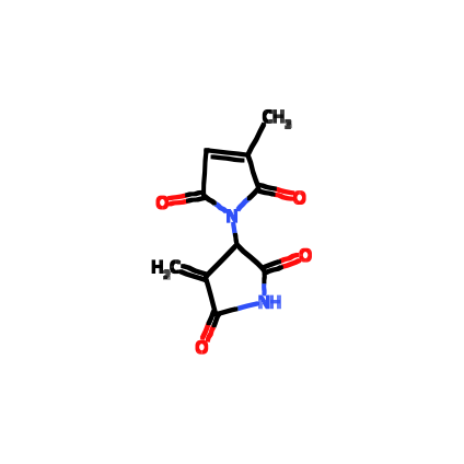 C=C1C(=O)NC(=O)C1N1C(=O)C=C(C)C1=O